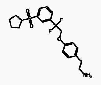 NCCc1ccc(OCC(F)(F)c2cccc(S(=O)(=O)C3CCCC3)c2)cc1